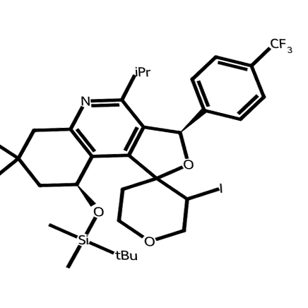 CC(C)c1nc2c(c3c1[C@@H](c1ccc(C(F)(F)F)cc1)OC31CCOCC1I)[C@@H](O[Si](C)(C)C(C)(C)C)CC(C)(C)C2